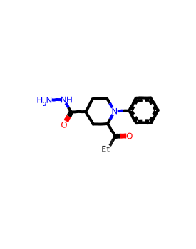 CCC(=O)C1CC(C(=O)NN)CCN1c1ccccc1